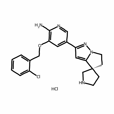 Cl.Nc1ncc(-c2cc3n(n2)CC[C@@]32CCNC2)cc1OCc1ccccc1Cl